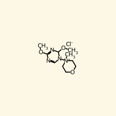 COC1=NC(OC)N([N+]2(C)CCOCC2)C=N1.[Cl-]